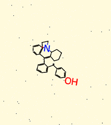 C=C(c1ccc(O)cc1)c1ccccc1/C(=C1\CCCCC1N1CCC1)c1ccccc1